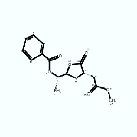 B[C@H](OC(=O)c1ccccc1)C1OC(=O)[C@H](CC(=O)OC)S1